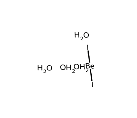 O.O.O.O.[I][Be][I]